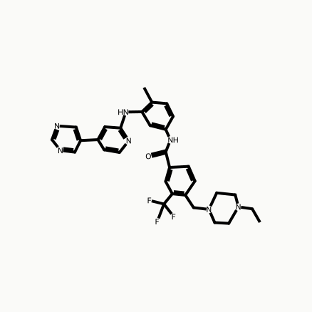 CCN1CCN(Cc2ccc(C(=O)Nc3ccc(C)c(Nc4cc(-c5cncnc5)ccn4)c3)cc2C(F)(F)F)CC1